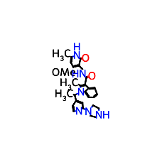 COc1cc(C)[nH]c(=O)c1CNC(=O)c1c(C)n(C(C)c2ccnc(N3CCNCC3)c2)c2ccccc12